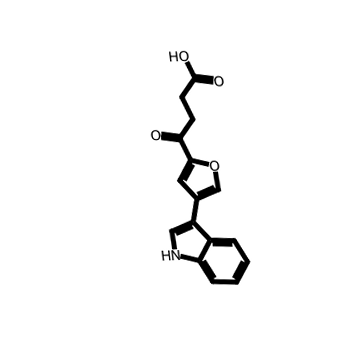 O=C(O)CCC(=O)c1cc(-c2c[nH]c3ccccc23)co1